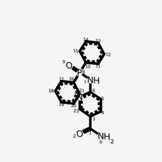 NC(=O)c1ccc(NP(=O)(c2ccccc2)c2ccccc2)nc1